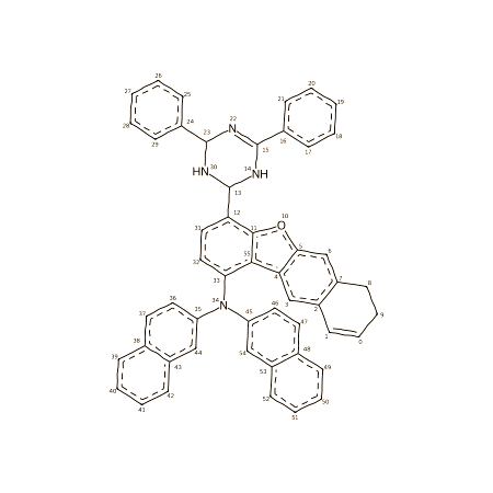 C1=Cc2cc3c(cc2CC1)oc1c(C2NC(c4ccccc4)=NC(c4ccccc4)N2)ccc(N(c2ccc4ccccc4c2)c2ccc4ccccc4c2)c13